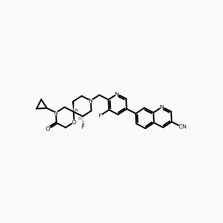 N#Cc1cnc2cc(-c3cnc(CN4CC[C@@]5(CN(C6CC6)C(=O)CO5)[C@@H](F)C4)c(F)c3)ccc2c1